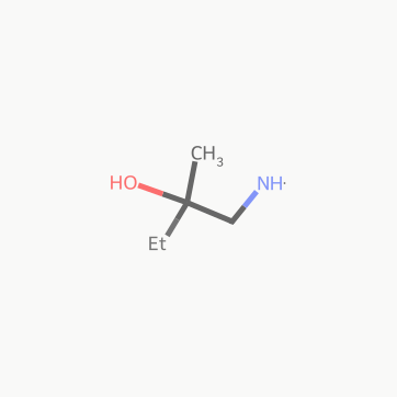 CCC(C)(O)C[NH]